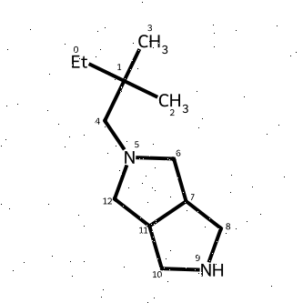 CCC(C)(C)CN1CC2CNCC2C1